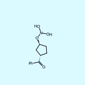 CC(C)C(=O)[C@H]1CC[C@H](ON(O)O)C1